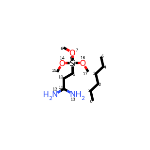 CCCCCC.CO[Si](CCC(N)N)(OC)OC